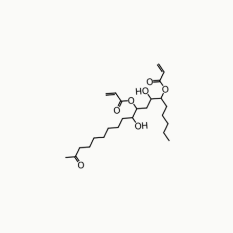 C=CC(=O)OC(CCCCC)C(O)CC(OC(=O)C=C)C(O)CCCCCCCC(C)=O